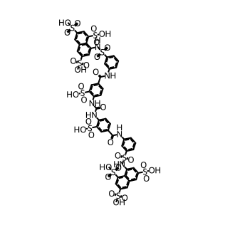 O=C(Nc1ccc(C(=O)Nc2cccc(S(=O)(=O)Nc3cc(S(=O)(=O)O)cc4cc(S(=O)(=O)O)cc(S(=O)(=O)O)c34)c2)cc1S(=O)(=O)O)Nc1ccc(C(=O)Nc2cccc(S(=O)(=O)Nc3cc(S(=O)(=O)O)cc4cc(S(=O)(=O)O)cc(S(=O)(=O)O)c34)c2)cc1S(=O)(=O)O